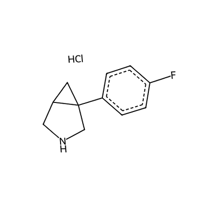 Cl.Fc1ccc(C23CNCC2C3)cc1